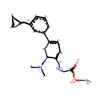 CN(C)[C@H]1CC(c2cccc(C3CC3)c2)=CCC1NC(=O)OC(C)(C)C